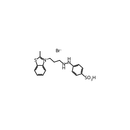 Cc1sc2ccccc2[n+]1CCCNNc1ccc(S(=O)(=O)O)cc1.[Br-]